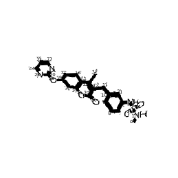 CNS(=O)(=O)Nc1cccc(Cc2c(C)c3ccc(Oc4ncccn4)cc3oc2=O)c1